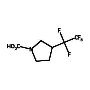 O=C(O)N1CCC(C(F)(F)C(F)(F)F)C1